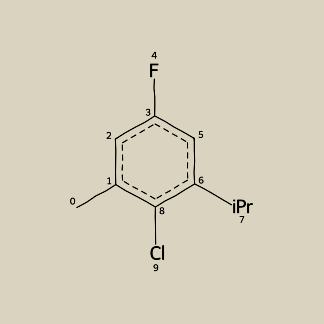 Cc1cc(F)cc(C(C)C)c1Cl